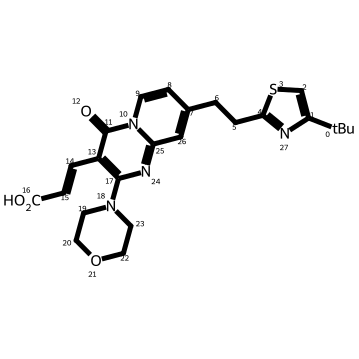 CC(C)(C)c1csc(CCc2ccn3c(=O)c(/C=C/C(=O)O)c(N4CCOCC4)nc3c2)n1